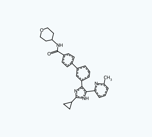 Cc1cccc(-c2[nH]c(C3CC3)nc2-c2cccc(-c3ccc(C(=O)NC4CCOCC4)cc3)c2)n1